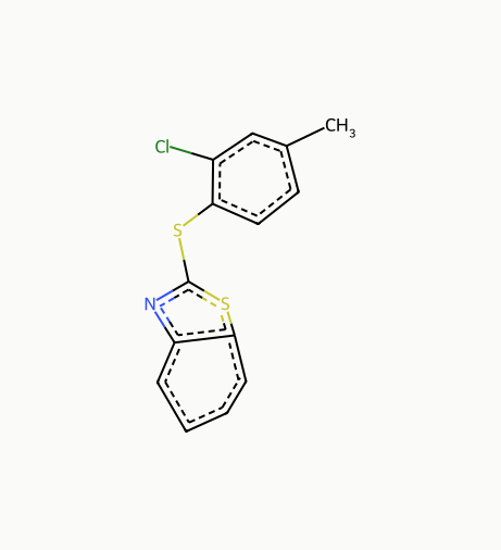 Cc1ccc(Sc2nc3ccccc3s2)c(Cl)c1